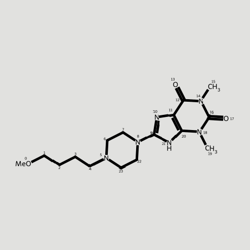 COCCCCN1CCN(c2nc3c(=O)n(C)c(=O)n(C)c3[nH]2)CC1